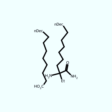 CCCCCCCCCCCCCCCCC(N)(CC)C(N)=O.CCCCCCCCCCCCCCCCCC(=O)O